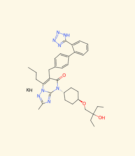 CCCc1c(Cc2ccc(-c3ccccc3-c3nnn[nH]3)cc2)c(=O)n([C@H]2CC[C@H](OCC(O)(CC)CC)CC2)c2nc(C)nn12.[KH]